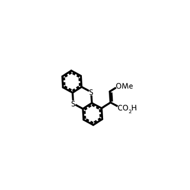 COC=C(C(=O)O)c1cccc2c1Sc1ccccc1S2